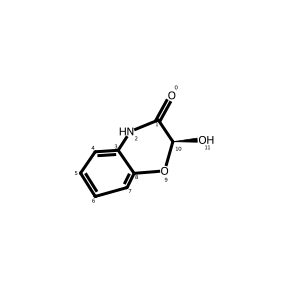 O=C1Nc2ccccc2O[C@@H]1O